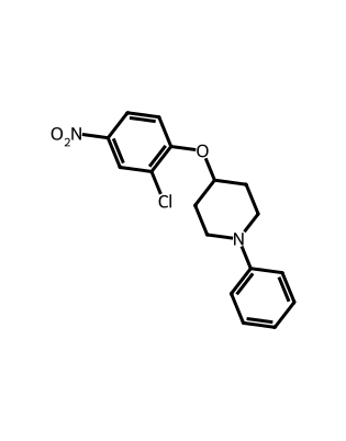 O=[N+]([O-])c1ccc(OC2CCN(c3ccccc3)CC2)c(Cl)c1